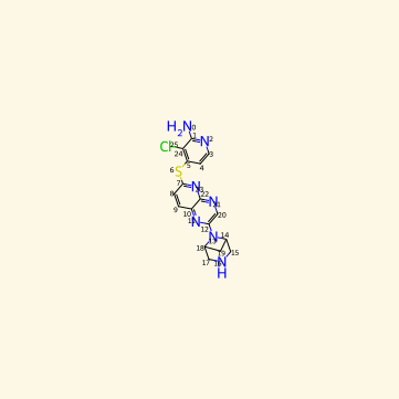 Nc1nccc(Sc2ccc3nc(N4C5CNCC4C5)cnc3n2)c1Cl